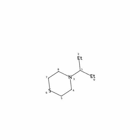 CCC(CC)N1CCSCC1